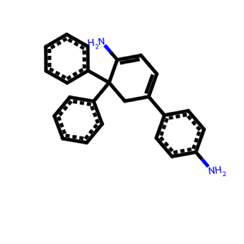 NC1=CC=C(c2ccc(N)cc2)CC1(c1ccccc1)c1ccccc1